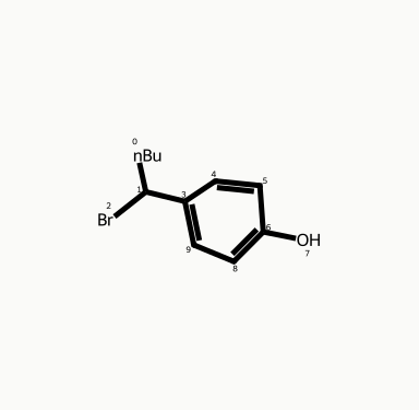 CCCCC(Br)c1ccc(O)cc1